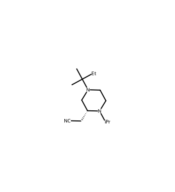 CCC(C)(C)N1CCN(C(C)C)[C@H](CC#N)C1